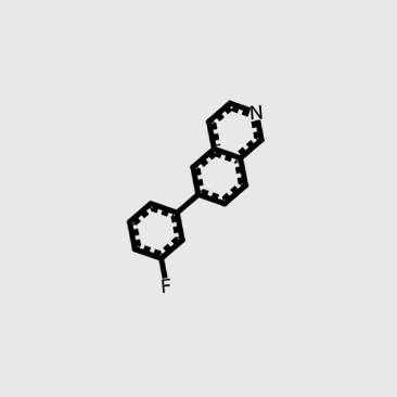 Fc1cccc(-c2ccc3cnccc3c2)c1